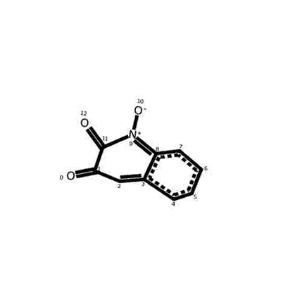 O=C1C=c2ccccc2=[N+]([O-])C1=O